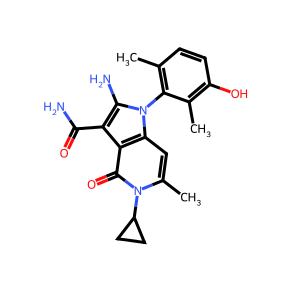 Cc1ccc(O)c(C)c1-n1c(N)c(C(N)=O)c2c(=O)n(C3CC3)c(C)cc21